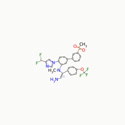 CN(/C(=C\N)c1ccc(OC(F)(F)F)cc1)c1cc(-c2cccc(S(C)(=O)=O)c2)ccc1-n1cnc(C(F)F)c1